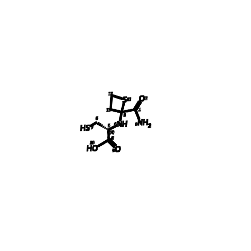 NC(=O)C1(N[C@@H](CS)C(=O)O)CCS1